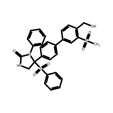 CS(=O)(=O)c1cc(-c2ccc(C3(S(=O)(=O)c4ccccc4)CNC(=O)N3c3ccccc3)cc2)ccc1CO